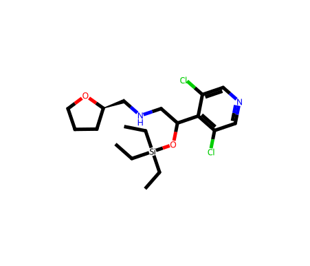 CC[Si](CC)(CC)OC(CNC[C@H]1CCCO1)c1c(Cl)cncc1Cl